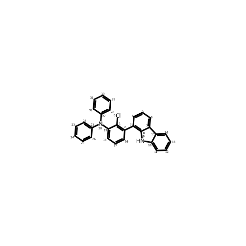 Clc1c(-c2cccc3c2[nH]c2ccccc23)cccc1N(c1ccccc1)c1ccccc1